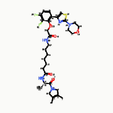 CC1=C(C)CN(C(=O)[C@@H](NC(=O)CCCCCCNC(=O)COc2c(-c3csc(N4CCOCC4)n3)ccc(F)c2F)C(C)(C)C)C1